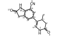 CC1CC(=O)NN=C1c1cc(C#N)c2c(c1)CC(=O)N2